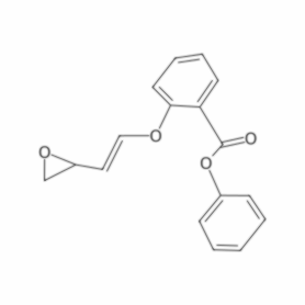 O=C(Oc1ccccc1)c1ccccc1OC=CC1CO1